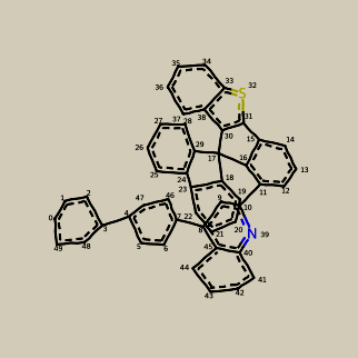 c1ccc(-c2ccc(-c3cc(-c4cccc5c4C4(c6ccccc6-c6ccccc64)c4c-5sc5ccccc45)nc4ccccc34)cc2)cc1